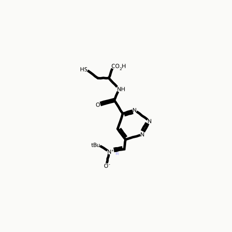 CC(C)(C)/[N+]([O-])=C\c1cc(C(=O)NC(CS)C(=O)O)nnn1